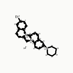 CCc1ccc2c(ccc3c[n+]4c5ccc(N6CCCCC6)cc5ccc4n32)c1.[I-]